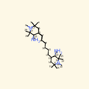 CN1C(C)(C)CC(CCCCCCC2CC(C)(C)N(C)C(C)(C)C2N)C(N)C1(C)C